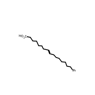 CC(C)CCCCCCC/C=C/CCCCCCC(=O)O